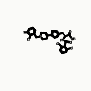 O=C(N[C@@H](Cc1ccc(C2=CCN(Cc3cccc(F)c3Cl)CC2)cc1)C(=O)O)c1c(Cl)cccc1Cl